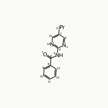 CC(C)c1cnc(NC(=O)c2ccccc2)nc1